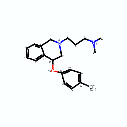 CN(C)CCCN1Cc2ccccc2C(Oc2ccc(C(F)(F)F)cc2)C1